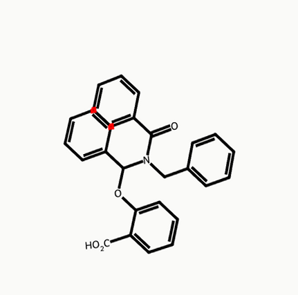 O=C(O)c1ccccc1OC(c1ccccc1)N(Cc1ccccc1)C(=O)c1ccccc1